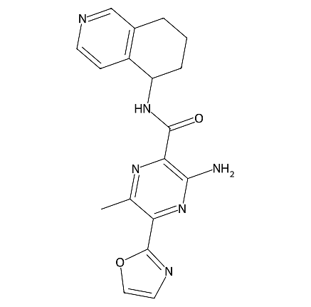 Cc1nc(C(=O)NC2CCCc3cnccc32)c(N)nc1-c1ncco1